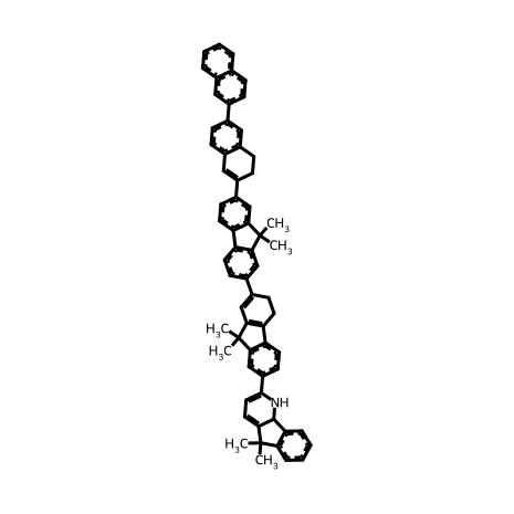 CC1(C)C2=C(CCC(c3ccc4c(c3)C(C)(C)c3cc(C5=Cc6ccc(-c7ccc8ccccc8c7)cc6CC5)ccc3-4)=C2)c2ccc(C3=CC=C4C(N3)c3ccccc3C4(C)C)cc21